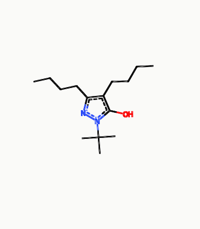 CCCCc1nn(C(C)(C)C)c(O)c1CCCC